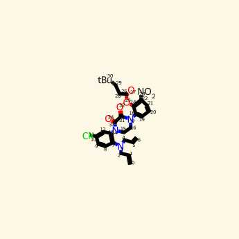 C=CCN(CC=C)c1ccc(Cl)cc1N1CCN(c2cccc([N+](=O)[O-])c2OC(=O)CCC(C)(C)C)C(=O)C1=O